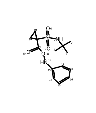 CC(C)(C)NS(=O)(=O)C1(C(=O)ONc2ccccc2)CC1